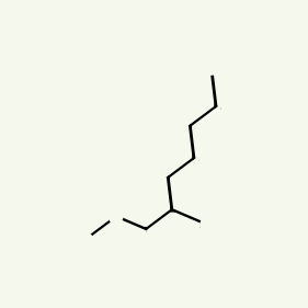 [CH2]OCC(C)CCCCC